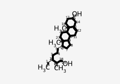 CC[C@H](CCC[C@H]1CCC2C3CC=C4C[C@@H](O)CC[C@]4(C)C3CC[C@@]21C)[C@@H](C)CO